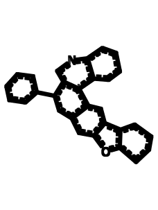 c1ccc(-c2cc3cc4oc5ccccc5c4cc3c3c2cnc2ccccc23)cc1